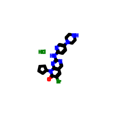 Cl.O=c1c(Br)cc2cnc(Nc3ccc(N4CCNCC4)cn3)nc2n1C1CCCC1